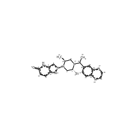 CC[C@@H]1CN(n2cc3[nH]c(=O)ccc3n2)[C@@H](C)CN1C(C)c1ccc2nccnc2c1